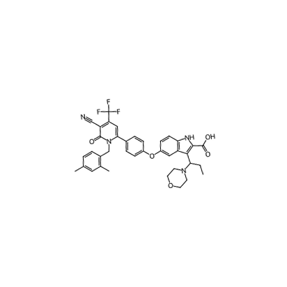 CCC(c1c(C(=O)O)[nH]c2ccc(Oc3ccc(-c4cc(C(F)(F)F)c(C#N)c(=O)n4Cc4ccc(C)cc4C)cc3)cc12)N1CCOCC1